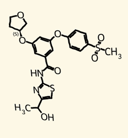 CC(O)c1csc(NC(=O)c2cc(Oc3ccc(S(C)(=O)=O)cc3)cc(O[C@H]3CCOC3)c2)n1